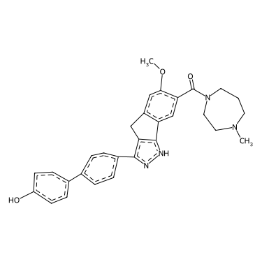 COc1cc2c(cc1C(=O)N1CCCN(C)CC1)-c1[nH]nc(-c3ccc(-c4ccc(O)cc4)cc3)c1C2